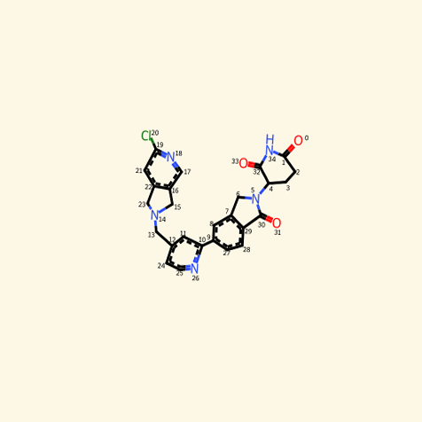 O=C1CCC(N2Cc3cc(-c4cc(CN5Cc6cnc(Cl)cc6C5)ccn4)ccc3C2=O)C(=O)N1